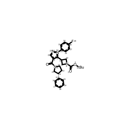 CC(C)(C)OC(=O)N1CC(c2c(C(=O)N3CC[C@H](c4ccccc4)C3)cnn2-c2ccc(F)cc2)C1